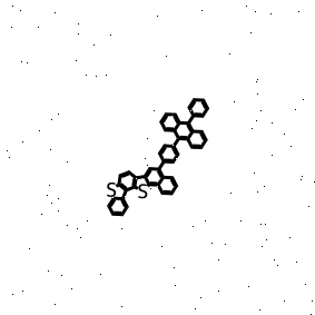 c1ccc(-c2c3ccccc3c(-c3ccc(-c4cc5c6ccc7sc8ccccc8c7c6sc5c5ccccc45)cc3)c3ccccc23)cc1